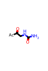 CC(=O)C(=O)CNC(N)=O